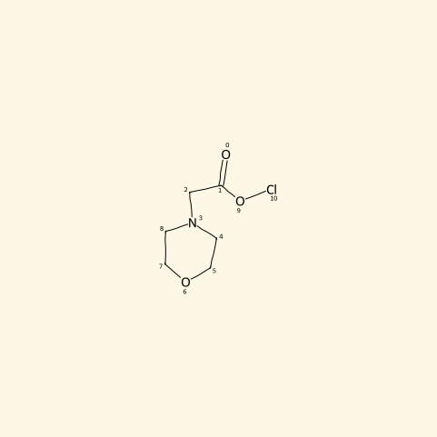 O=C(CN1CCOCC1)OCl